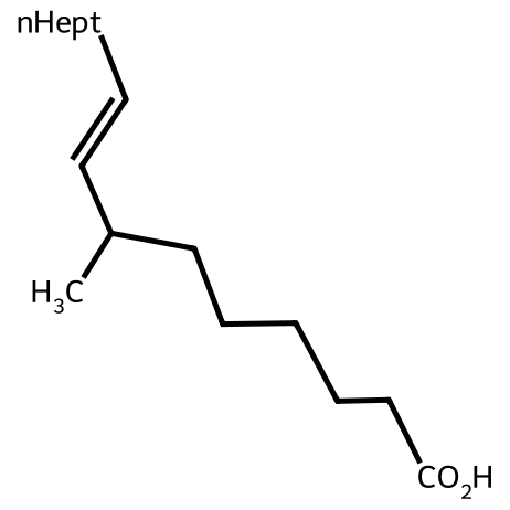 CCCCCCC/C=C/C(C)CCCCCC(=O)O